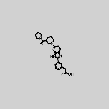 O=C(O)Cc1cccc(-c2nc3ccc(N4CCCC(C(=O)N5CCCC5)C4)nc3[nH]2)c1